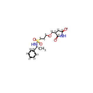 C[C@@H](NS(=O)(=O)CCCOCC1CC(=O)NC1=O)c1ccccc1